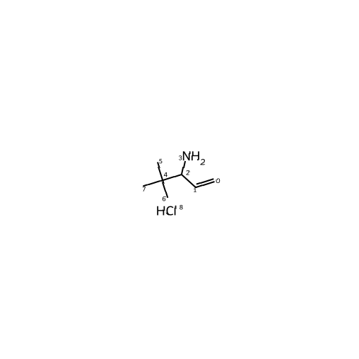 C=CC(N)C(C)(C)C.Cl